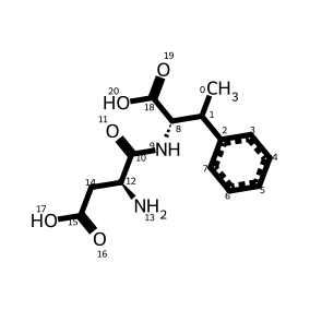 CC(c1ccccc1)[C@H](NC(=O)[C@@H](N)CC(=O)O)C(=O)O